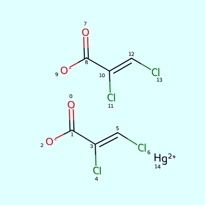 O=C([O-])C(Cl)=CCl.O=C([O-])C(Cl)=CCl.[Hg+2]